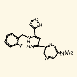 CNC1=CN=C(C(=N)/C=C(\NCc2ccccc2F)c2ccon2)CN=C1